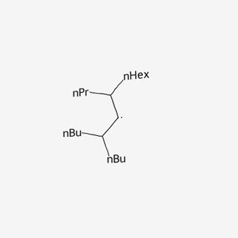 CCCCCCC([CH]C(CCCC)CCCC)CCC